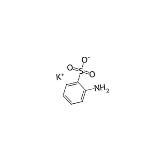 Nc1ccccc1S(=O)(=O)[O-].[K+]